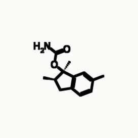 Cc1ccc2c(c1)[C@](C)(OC(N)=O)[C@H](C)C2